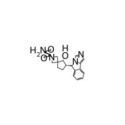 NS(=O)(=O)N1CC2(CC[C@H](C3c4ccccc4-c4cncn43)[C@H]2O)C1